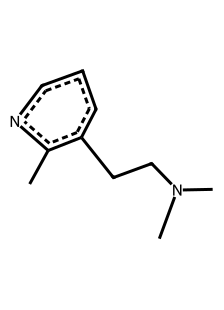 Cc1ncccc1CCN(C)C